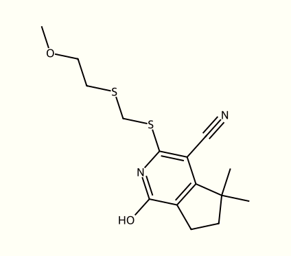 COCCSCSc1nc(O)c2c(c1C#N)C(C)(C)CC2